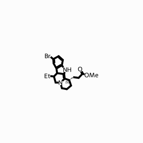 CCC1CN2CCC[C@@H](CCC(=O)OC)C2=C2Nc3ccc(Br)cc3C21